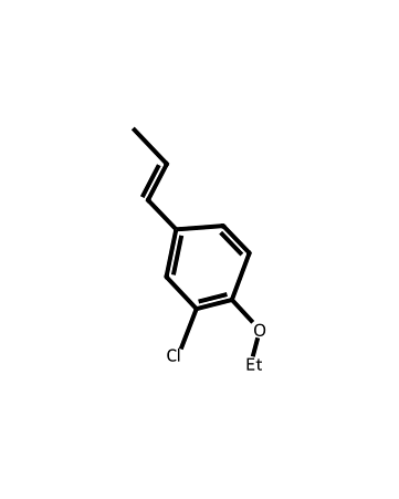 CC=Cc1ccc(OCC)c(Cl)c1